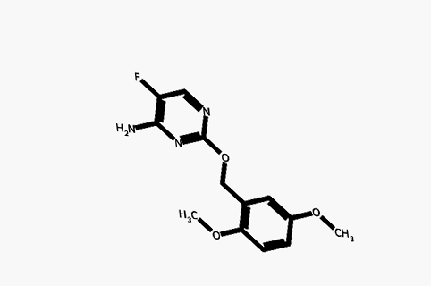 COc1ccc(OC)c(COc2ncc(F)c(N)n2)c1